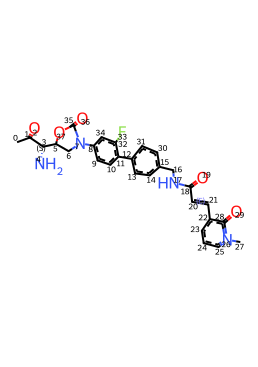 CC(=O)[C@@H](N)C1CN(c2ccc(-c3ccc(CNC(=O)/C=C/c4cccn(C)c4=O)cc3)c(F)c2)C(=O)O1